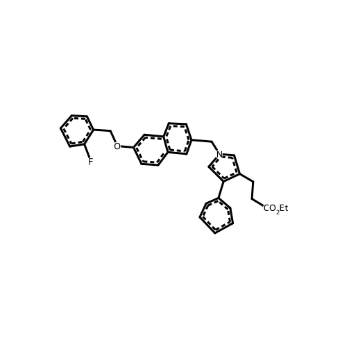 CCOC(=O)CCc1cn(Cc2ccc3cc(OCc4ccccc4F)ccc3c2)cc1-c1ccccc1